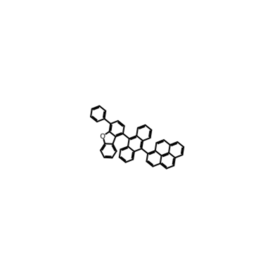 c1ccc(-c2ccc(-c3c4ccccc4c(-c4ccc5ccc6cccc7ccc4c5c67)c4ccccc34)c3c2oc2ccccc23)cc1